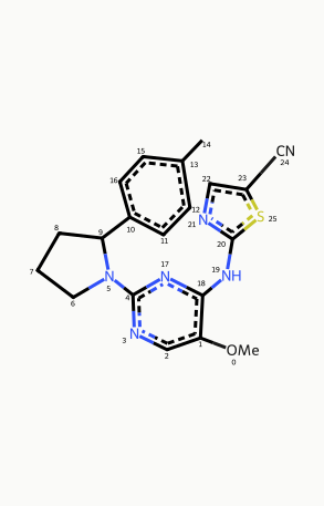 COc1cnc(N2CCCC2c2ccc(C)cc2)nc1Nc1ncc(C#N)s1